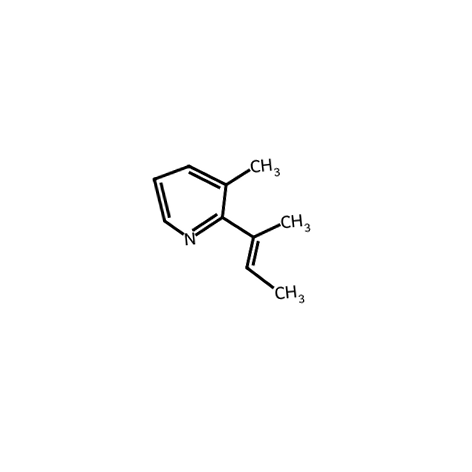 C/C=C(\C)c1ncccc1C